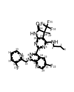 CCCNc1nc(-c2nn(Cc3ncccc3F)c3ncc(F)cc23)nc2c1[C@@](C)(C(F)(F)F)C(=O)N2